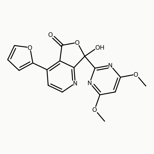 COc1cc(OC)nc(C2(O)OC(=O)c3c(-c4ccco4)ccnc32)n1